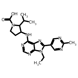 CCn1c(-c2cnc(C)nc2)nc2c(NC3CCN(C(=O)O)C3C(C)C)ncnc21